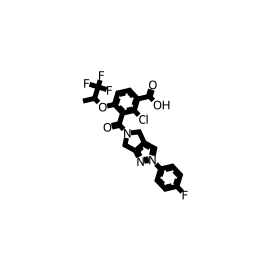 CC(Oc1ccc(C(=O)O)c(Cl)c1C(=O)N1Cc2cn(-c3ccc(F)cc3)nc2C1)C(F)(F)F